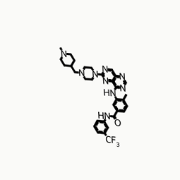 Cc1ccc(C(=O)Nc2cccc(C(F)(F)F)c2)cc1Nc1ncnc2cnc(N3CCN(CC4CCN(C)CC4)CC3)nc12